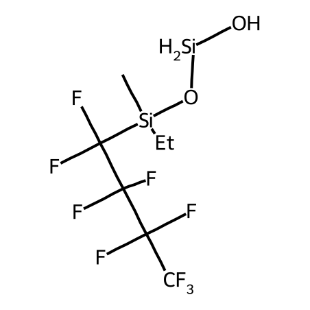 CC[Si](C)(O[SiH2]O)C(F)(F)C(F)(F)C(F)(F)C(F)(F)F